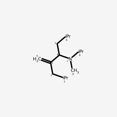 C=C(CC(C)C)C(CC(C)C)N(C)C(C)C